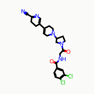 N#CC1=NC=C(C2=CCN(C3CCN(C(=O)CNC(=O)c4ccc(Cl)c(Cl)c4)C3)CC2)CC1